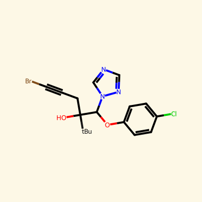 CC(C)(C)C(O)(CC#CBr)C(Oc1ccc(Cl)cc1)n1cncn1